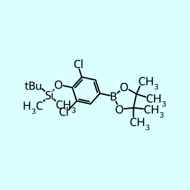 CC1(C)OB(c2cc(Cl)c(O[Si](C)(C)C(C)(C)C)c(Cl)c2)OC1(C)C